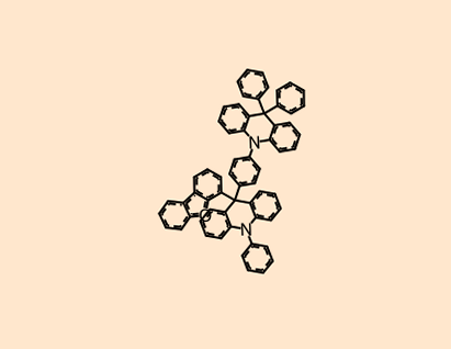 c1ccc(N2c3ccccc3C(c3ccc(N4c5ccccc5C(c5ccccc5)(c5ccccc5)c5ccccc54)cc3)(c3cccc4c3oc3ccccc34)c3ccccc32)cc1